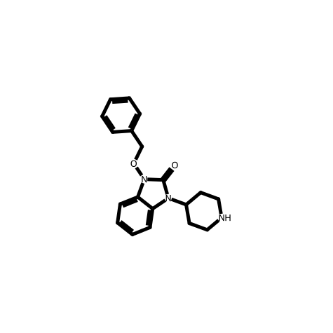 O=c1n(OCc2ccccc2)c2ccccc2n1C1CCNCC1